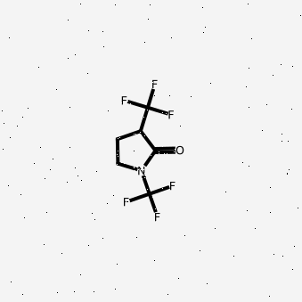 O=C1C(C(F)(F)F)CCN1C(F)(F)F